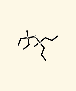 CC[CH2][Ge]([CH3])([CH2]CC)[O][Ge]([CH3])([CH2]C)[CH2]C